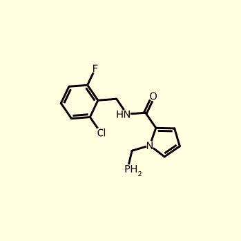 O=C(NCc1c(F)cccc1Cl)c1cccn1CP